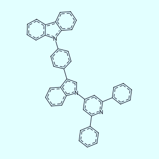 c1ccc(-c2cc(-n3cc(-c4ccc(-n5c6ccccc6c6ccccc65)cc4)c4ccccc43)cc(-c3ccccc3)n2)cc1